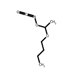 CCCCOC(C)ON=C=O